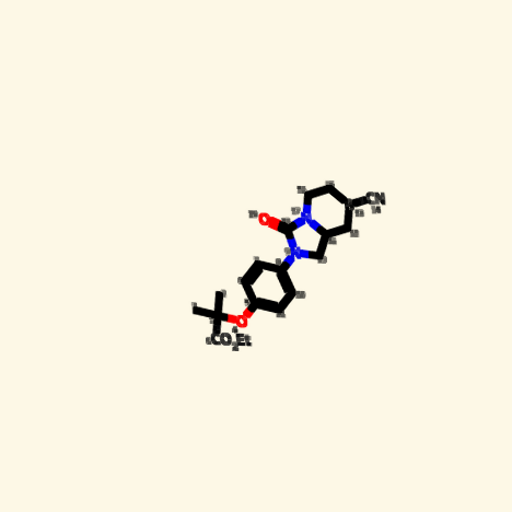 CCOC(=O)C(C)(C)Oc1ccc(N2CC3CB(C#N)CCN3C2=O)cc1